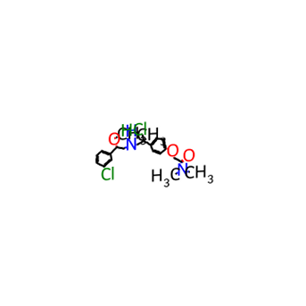 COC(CNCC(C)c1ccc(OCC(=O)N(C)C)cc1)c1cccc(Cl)c1.Cl